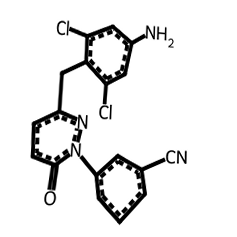 N#Cc1cccc(-n2nc(Cc3c(Cl)cc(N)cc3Cl)ccc2=O)c1